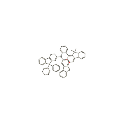 CC1(C)c2c(-c3ccccc3N(C3=CC4=C(CC3)c3ccccc3C4(C3=CCCC=C3)c3ccccc3)c3ccc4sc5ccccc5c4c3)cccc2C2C=CC=CC21